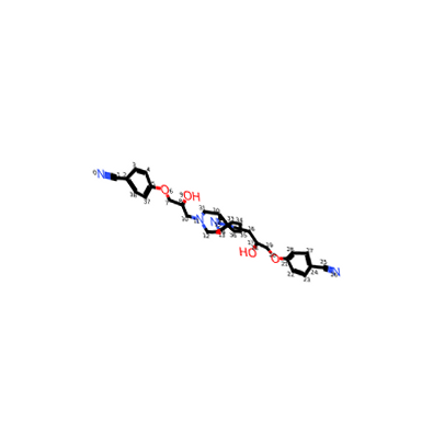 N#Cc1ccc(OCC(O)CN2CC3CN(CC(O)COc4ccc(C#N)cc4)CC(C2)C32CCCC2)cc1